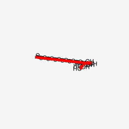 CC(=O)CCOCCOCCOCCOCCOCCOCCOCCOCCOCCOCCOCCOCCN(C[C@H](O)[C@@H](O)[C@H](O)CO)C[C@H](O)[C@@H](O)[C@H](O)CO